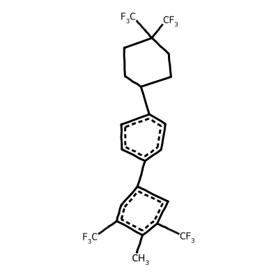 Cc1c(C(F)(F)F)cc(-c2ccc(C3CCC(C(F)(F)F)(C(F)(F)F)CC3)cc2)cc1C(F)(F)F